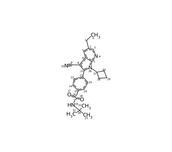 CCc1cnc2c(c1)c(C#N)c(-c1ccc(S(=O)(=O)NC(C)(C)C)cc1)n2C1CCC1